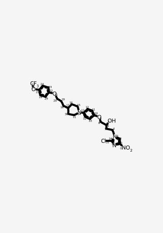 O=[N+]([O-])c1cn(CCC(O)COc2ccc(N3CCC(CCCOc4ccc(OC(F)(F)F)cc4)CC3)cc2)c(Cl)n1